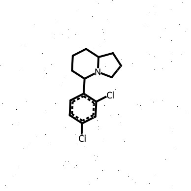 Clc1ccc(C2CCCC3CCCN32)c(Cl)c1